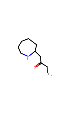 CCC(=O)CC1CCCCCN1